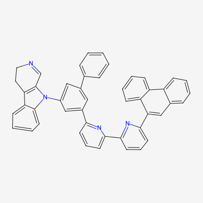 C1=NCCc2c1n(-c1cc(-c3ccccc3)cc(-c3cccc(-c4cccc(-c5cc6ccccc6c6ccccc56)n4)n3)c1)c1ccccc21